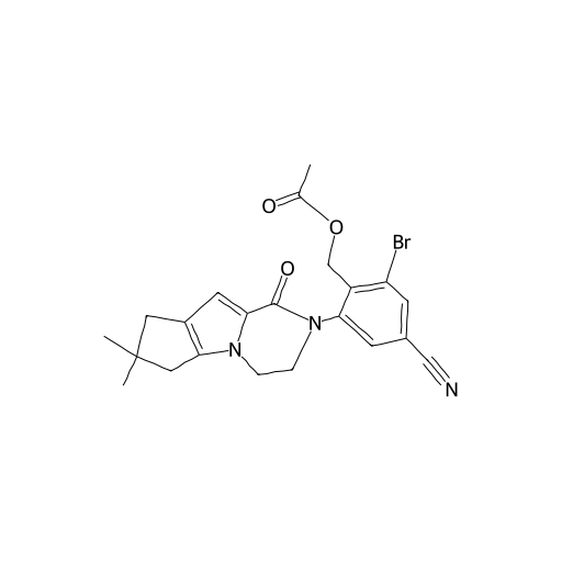 CC(=O)OCc1c(Br)cc(C#N)cc1N1CCn2c(cc3c2CC(C)(C)C3)C1=O